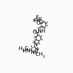 CNc1cc(N2Cc3ccc(C(=O)NCc4ccccc4OC(F)(F)F)cc3C2)nc(C)n1